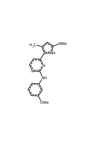 CNc1cc(C)c(-c2ccnc(Nc3cccc(OC)c3)n2)[nH]1